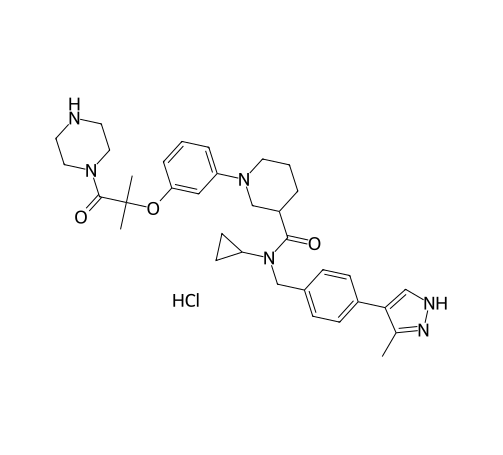 Cc1n[nH]cc1-c1ccc(CN(C(=O)C2CCCN(c3cccc(OC(C)(C)C(=O)N4CCNCC4)c3)C2)C2CC2)cc1.Cl